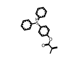 C=C(C)C(=O)Oc1ccc([SH](c2ccccc2)c2ccccc2)cc1